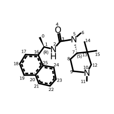 C[C@@H](NC(=O)N(C)[C@H]1CCN(C)CC1(C)C)c1cccc2ccccc12